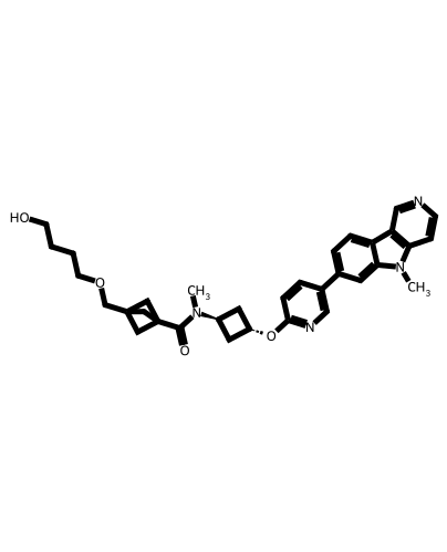 Cn1c2ccncc2c2ccc(-c3ccc(O[C@H]4C[C@H](N(C)C(=O)C56CC(COCCCCO)(C5)C6)C4)nc3)cc21